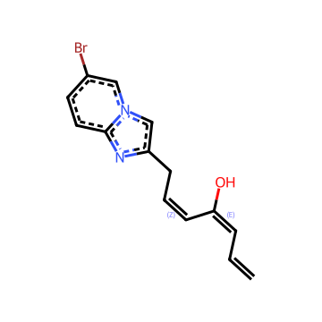 C=C/C=C(O)\C=C/Cc1cn2cc(Br)ccc2n1